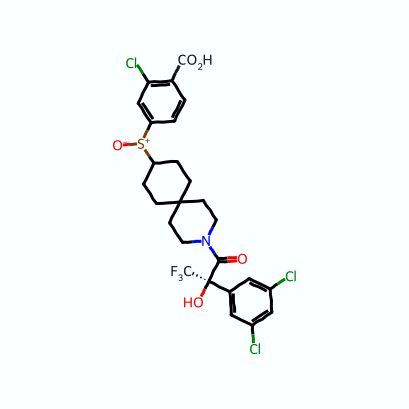 O=C(O)c1ccc([S+]([O-])C2CCC3(CC2)CCN(C(=O)[C@](O)(c2cc(Cl)cc(Cl)c2)C(F)(F)F)CC3)cc1Cl